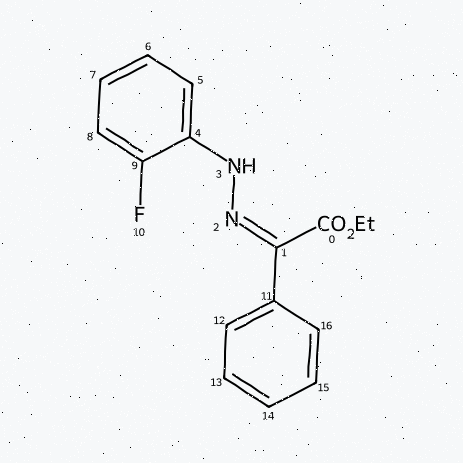 CCOC(=O)/C(=N\Nc1ccccc1F)c1ccccc1